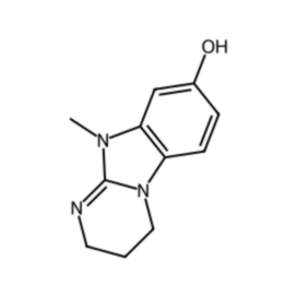 CN1C2=NCCCN2c2ccc(O)cc21